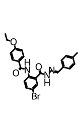 CCOc1ccc(C(=O)Nc2ccc(Br)cc2C(=O)NN=Cc2ccc(C)cc2)cc1